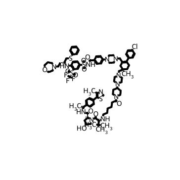 Cc1ncsc1-c1ccc([C@H](C)NC(=O)[C@@H]2C[C@@H](O)CN2C(=O)[C@@H](NCCCCCC(=O)N2CCC(N3CCN(C[C@]4(C)CCC(c5ccc(Cl)cc5)=C(CN5CCN(c6ccc(C(=O)NS(=O)(=O)c7ccc(N[C@H](CCN8CCCOCC8)CSc8ccccc8)c(S(=O)(=O)C(F)(F)F)c7)cc6)CC5)C4)CC3)CC2)C(C)(C)C)cc1